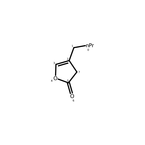 CCCCC1=COC(=O)C1